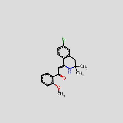 COc1ccccc1C(=O)/C=C1\NC(C)(C)Cc2cc(Br)ccc21